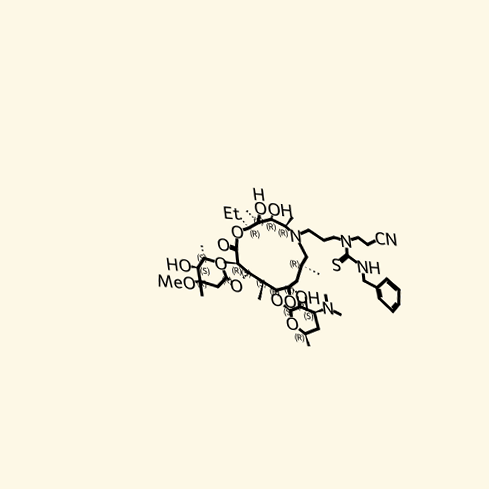 CC[C@H]1OC(=O)[C@H](C)[C@@H](O[C@H]2C[C@@](C)(OC)[C@@H](O)[C@H](C)O2)[C@H](C)[C@@H](O[C@@H]2O[C@H](C)C[C@H](N(C)C)[C@H]2O)[C@](C)(O)C[C@@H](C)CN(CCCN(CCC#N)C(=S)NCc2ccccc2)[C@H](C)[C@@H](O)[C@]1(C)O